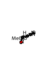 COc1ccc(NC(=O)c2ccc(-c3ccc(-c4noc(C)n4)cc3C)cc2)cc1OCC1CC2CCN1CC2